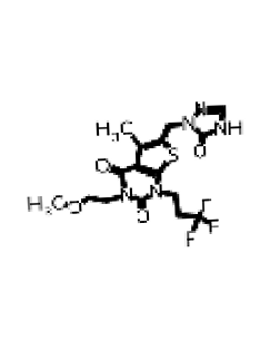 COCCn1c(=O)c2c(C)c(Cn3nc[nH]c3=O)sc2n(CCC(F)(F)F)c1=O